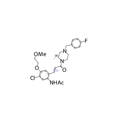 COCCOc1cc(/C=C/C(=O)N2CCN(Cc3ccc(F)cc3)C[C@H]2C)c(NC(C)=O)cc1Cl